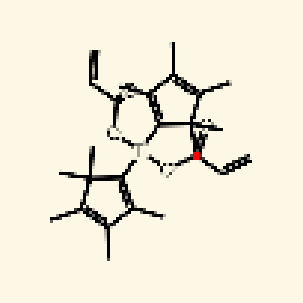 C=CC(=O)[O][Ti]([O]C(=O)C=C)([C]1=C(C)C(C)=C(C)C1(C)C)[C]1=C(C)C(C)=C(C)C1(C)C